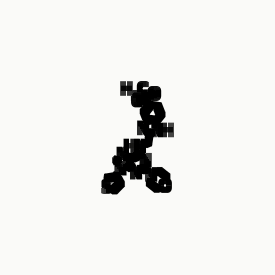 CS(=O)(=O)c1ccc2[nH]c(CNc3nc(N4CCOCC4)nc4c3ncn4-c3ccsc3)nc2c1